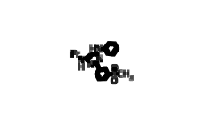 CC(C)Nc1cc(Nc2ccccc2)nc(-c2cccc(S(C)(=O)=O)c2)n1